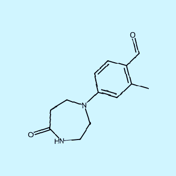 Cc1cc(N2CCNC(=O)CC2)ccc1C=O